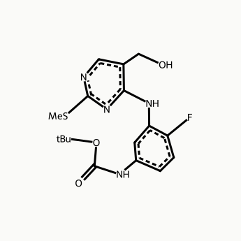 CSc1ncc(CO)c(Nc2cc(NC(=O)OC(C)(C)C)ccc2F)n1